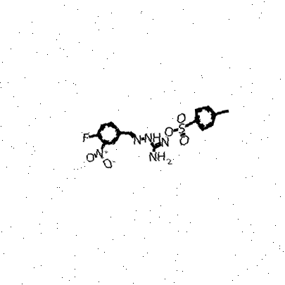 Cc1ccc(S(=O)(=O)ON=C(N)NN=Cc2ccc(F)c([N+](=O)[O-])c2)cc1